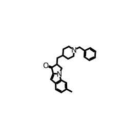 Cc1ccc2cc3n(c2c1)CC(CC1CCN(Cc2ccccc2)CC1)C3=O